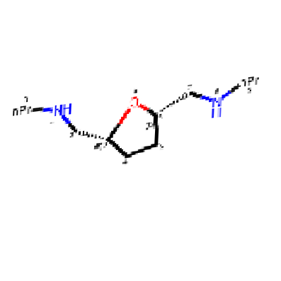 CCCNC[C@H]1CC[C@@H](CNCCC)O1